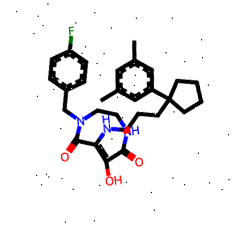 Cc1cc(C)cc(C2(CCCN/C3=C(/O)C(=O)NCCN(Cc4ccc(F)cc4)C3=O)CCCC2)c1